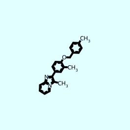 Cc1ccc(COc2ccc(-c3nc4ccccn4c3C)cc2C)cc1